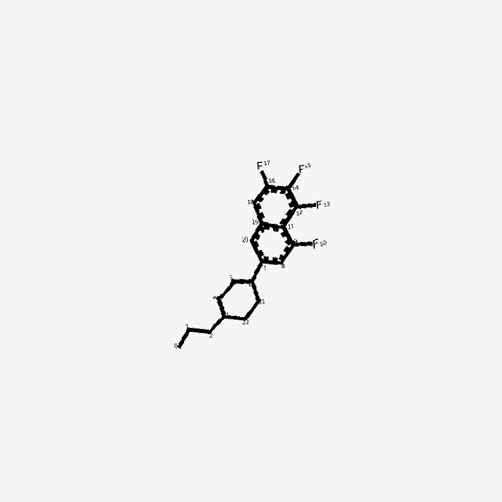 CCCC1CCC(c2cc(F)c3c(F)c(F)c(F)cc3c2)CC1